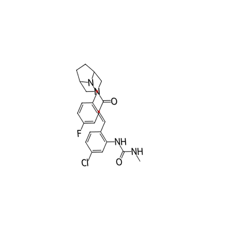 CNC(=O)Nc1cc(Cl)ccc1C=CC(=O)N1CC2CCC(C1)N2Cc1ccc(F)cc1